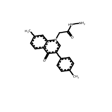 Cc1ccc(-c2cn(CC(=O)NN)c3cc(C)ccc3c2=O)cc1